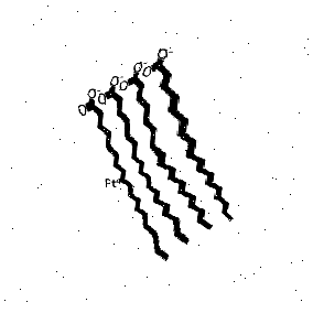 CCCCCCCCCCCCCCCCCC(=O)[O-].CCCCCCCCCCCCCCCCCC(=O)[O-].CCCCCCCCCCCCCCCCCC(=O)[O-].CCCCCCCCCCCCCCCCCC(=O)[O-].[Pt+4]